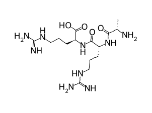 C[C@H](N)C(=O)N[C@H](CCCNC(=N)N)C(=O)N[C@@H](CCCNC(=N)N)C(=O)O